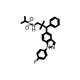 CC(C)S(=O)(=O)NCC(C)(C)C(c1ccccc1)c1ccc2c(cnn2-c2ccc(F)cc2)c1